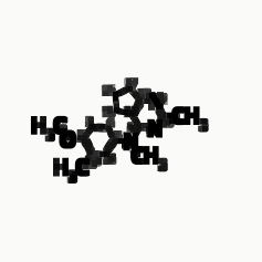 COc1ccc(N(C)c2nc(C)nc3c2CCC3)cc1C